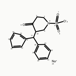 O=C1CCN(S(=O)(=O)[O-])CC1C(c1ccccc1)c1ccccc1.[Na+]